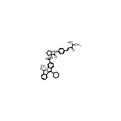 COC1c2ccccc2-c2c(C3CCCCC3)c3ccc(C(=O)NC4(C(=O)Nc5ccc(/C=C/C(=O)C(C)O)cc5)CCCC4)cc3n21